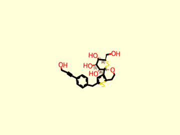 OCC#Cc1ccc(Cc2cc3c(s2)CCO[C@]32S[C@H](CO)[C@@H](O)[C@H](O)[C@H]2O)cc1